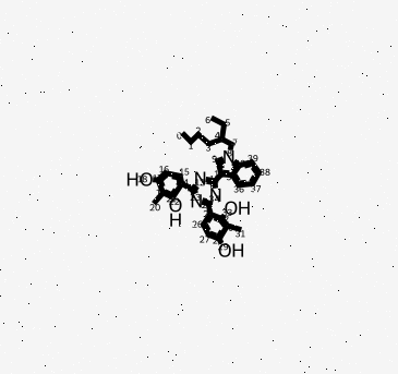 CCCCC(CC)Cn1cc(-c2nc(-c3ccc(O)c(C)c3O)nc(-c3ccc(O)c(C)c3O)n2)c2ccccc21